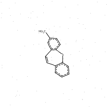 O=C(O)c1ccc2c(c1)C=Cc1ccccc1S2